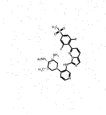 CC(=O)N[C@@H]1[C@H](N)CN(c2ccncc2Nc2ncc3ccc(-c4c(F)cc(S(C)(=O)=O)cc4F)nn23)C[C@@H]1C